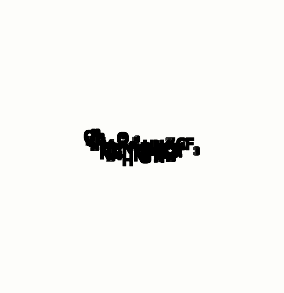 C[C@@H](NC(=O)c1cc(N2CCOCC2)ncn1)c1cc(-c2nc3ccc(C(F)(F)F)cc3[nH]2)on1